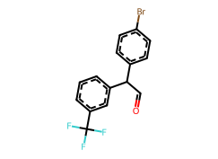 O=CC(c1ccc(Br)cc1)c1cccc(C(F)(F)F)c1